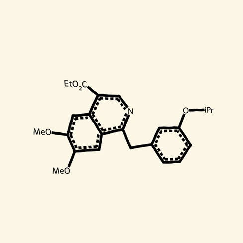 CCOC(=O)c1cnc(Cc2cccc(OC(C)C)c2)c2cc(OC)c(OC)cc12